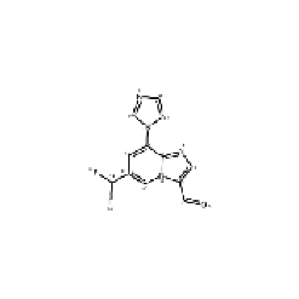 O=Cc1cnc2c(-n3cncn3)cc(C(F)F)cn12